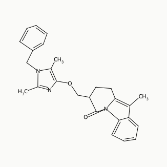 Cc1c2n(c3ccccc13)C(=O)C(COc1nc(C)n(Cc3ccccc3)c1C)CC2